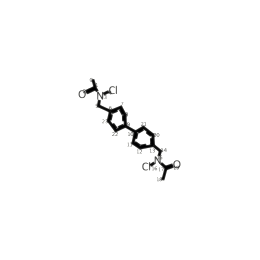 CC(=O)N(Cl)Cc1ccc(-c2ccc(CN(Cl)C(C)=O)cc2)cc1